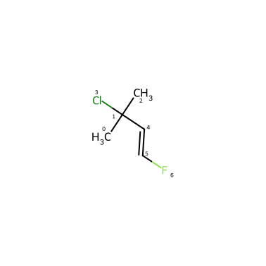 CC(C)(Cl)/C=C/F